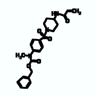 C=CC(=O)NC1CCN(S(=O)(=O)c2ccc(N(C)C(=O)OCc3ccccc3)cc2)CC1